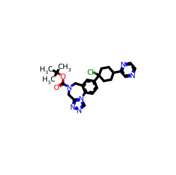 CC(C)(C)OC(=O)N1Cc2cc(C3(Cl)CCC(c4cnccn4)CC3)ccc2-n2cnnc2C1